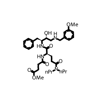 CCCN(CCC)C(=O)CC[C@@H](NC(=O)CCC(=O)OC)C(=O)N[C@@H](Cc1ccccc1)[C@H](O)CNCc1cccc(OC)c1